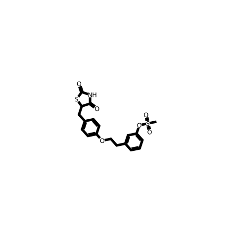 CS(=O)(=O)Oc1cccc(CCOc2ccc(CC3SC(=O)NC3=O)cc2)c1